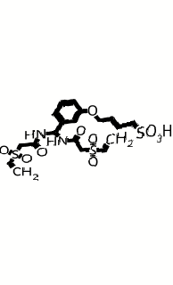 C=CS(=O)(=O)CC(=O)NC(NC(=O)CS(=O)(=O)C=C)c1cccc(OCCCCS(=O)(=O)O)c1